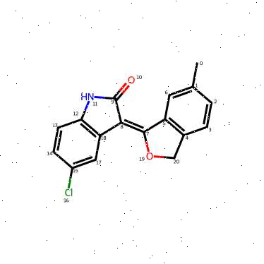 Cc1ccc2c(c1)/C(=C1\C(=O)Nc3ccc(Cl)cc31)OC2